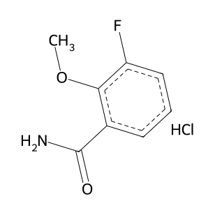 COc1c(F)cccc1C(N)=O.Cl